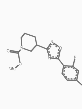 CC(C)(C)OC(=O)N1CCCC(c2noc(-c3ccc(F)cc3F)n2)C1